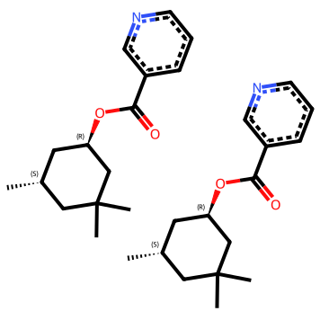 C[C@@H]1C[C@@H](OC(=O)c2cccnc2)CC(C)(C)C1.C[C@@H]1C[C@@H](OC(=O)c2cccnc2)CC(C)(C)C1